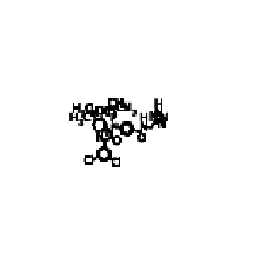 CC(C)(C)CC[C@H](c1ccc(C(=O)NCc2nn[nH]n2)cc1)N1C(=O)C(c2cc(Cl)cc(Cl)c2)=NC12CCC(C(C)(C)C)CC2